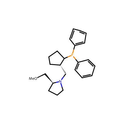 COC[C@@H]1CCCN1C[C@@H]1CCCC1P(c1ccccc1)c1ccccc1